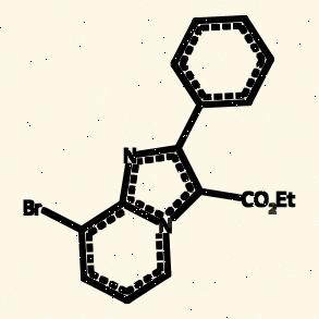 CCOC(=O)c1c(-c2ccccc2)nc2c(Br)cccn12